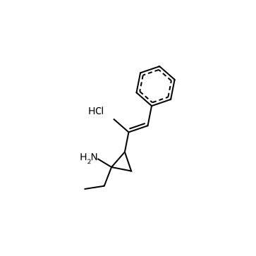 CCC1(N)CC1/C(C)=C/c1ccccc1.Cl